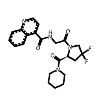 O=C(NCC(=O)N1CC(F)(F)C[C@H]1C(=O)N1CCCCC1)c1ccnc2ccccc12